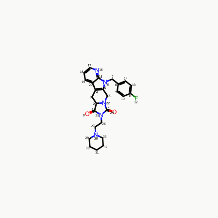 O=C1C2Cc3c(n(Cc4ccc(F)cc4)c4ncccc34)CN2C(=O)N1CCN1CCCCC1